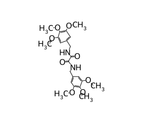 COc1cc(CNC(=O)C(=O)NCc2cc(OC)c(OC)c(OC)c2)cc(OC)c1OC